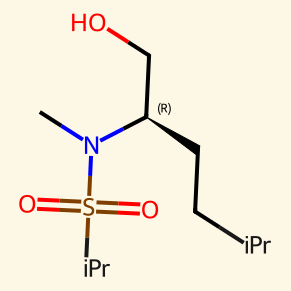 CC(C)CC[C@H](CO)N(C)S(=O)(=O)C(C)C